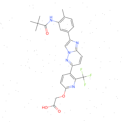 Cc1ccc(-c2cn3nc(-c4ccc(OCC(=O)O)nc4C(F)(F)F)ccc3n2)cc1NC(=O)C(C)(C)C